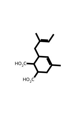 CC=C(C)CC1C=C(C)CC(C(=O)O)C1C(=O)O